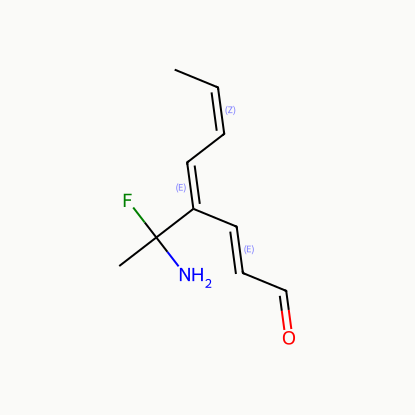 C\C=C/C=C(\C=C\C=O)C(C)(N)F